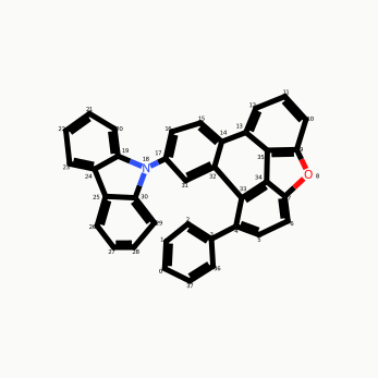 c1ccc(-c2ccc3oc4cccc5c6ccc(-n7c8ccccc8c8ccccc87)cc6c2c3c45)cc1